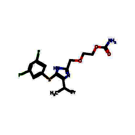 CC(C)C(C)c1nc(COCCOC(N)=O)[nH]c1Sc1cc(F)cc(F)c1